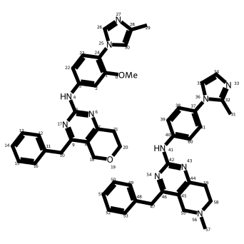 COc1cc(Nc2nc3c(c(Cc4ccccc4)n2)COCC3)ccc1-n1cnc(C)c1.Cc1nccn1-c1ccc(Nc2nc3c(c(Cc4ccccc4)n2)CN(C)CC3)cc1